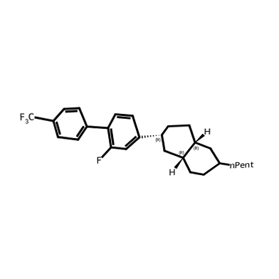 CCCCCC1CC[C@@H]2C[C@H](c3ccc(-c4ccc(C(F)(F)F)cc4)c(F)c3)CC[C@@H]2C1